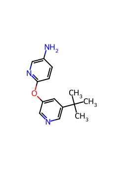 CC(C)(C)c1cncc(Oc2ccc(N)cn2)c1